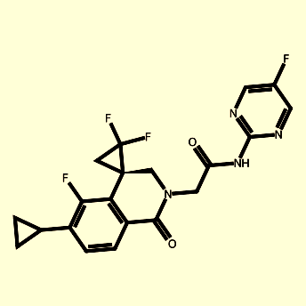 O=C(CN1C[C@]2(CC2(F)F)c2c(ccc(C3CC3)c2F)C1=O)Nc1ncc(F)cn1